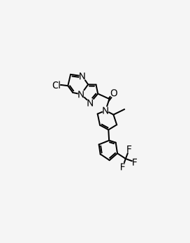 CC1CC(c2cccc(C(F)(F)F)c2)=CCN1C(=O)c1cc2ncc(Cl)cn2n1